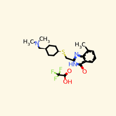 Cc1cccc2c(=O)[nH]c(CS[C@H]3CC[C@H](CN(C)C)CC3)nc12.O=C(O)C(F)(F)F